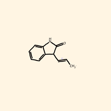 [CH2]/C=C/C1C(=O)Nc2ccccc21